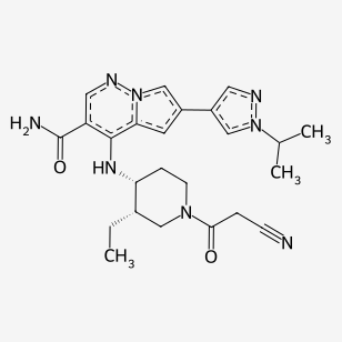 CC[C@H]1CN(C(=O)CC#N)CC[C@H]1Nc1c(C(N)=O)cnn2cc(-c3cnn(C(C)C)c3)cc12